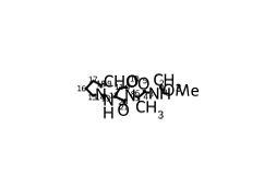 COC(C)NC(=O)C(C)N1C(=O)CC(NN2CCC[C@H]2C=O)C1=O